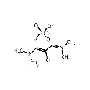 CN(C)/C=C(\Cl)C=[N+](C)C.[O-][Cl+3]([O-])([O-])[O-]